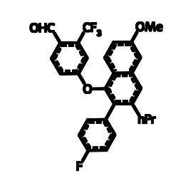 CCCc1cc2cc(OC)ccc2c(Oc2ccc(C=O)c(C(F)(F)F)c2)c1-c1ccc(F)cc1